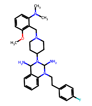 COc1cccc(N(C)C)c1CN1CCC(N2C(N)c3ccccc3N(CCc3ccc(F)cc3)C2N)CC1